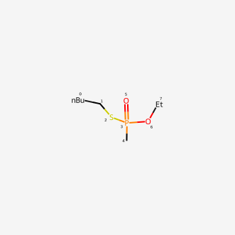 CCCCCSP(C)(=O)OCC